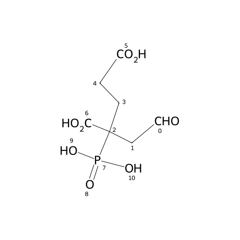 O=CCC(CCC(=O)O)(C(=O)O)P(=O)(O)O